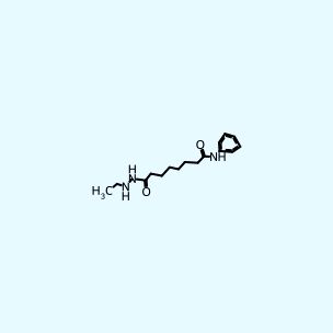 CCNNC(=O)CCCCCCC(=O)Nc1ccccc1